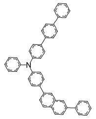 c1ccc(-c2ccc(-c3ccc(N(c4ccccc4)c4ccc(-c5ccc6ccc(-c7ccccc7)cc6c5)cc4)cc3)cc2)cc1